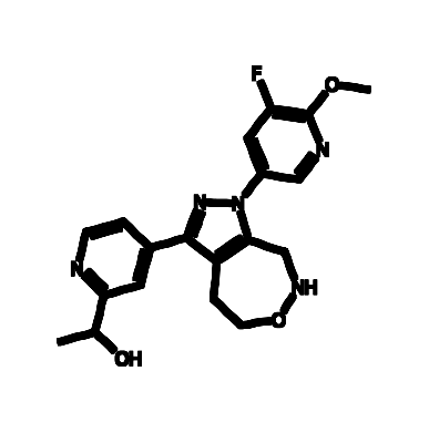 COc1ncc(-n2nc(-c3ccnc(C(C)O)c3)c3c2CNOCC3)cc1F